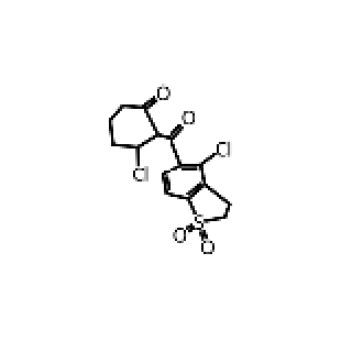 O=C1CCCC(Cl)C1C(=O)c1ccc2c(c1Cl)CCS2(=O)=O